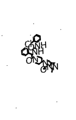 Cc1ncc2n1C(=O)N(C1CCN(C(=O)C(NC(=O)Nc3ccccc3Cl)c3ccccc3)CC1)C2